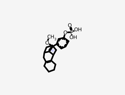 CO/C(=C1\C2CCCC1C1=C(CCCC1)C2)c1cccc(OP(=O)(O)O)c1